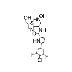 O=C(NC(CNO)c1ncc(CO)s1)c1ccc(-c2cc(F)c(Cl)c(F)c2)[nH]1